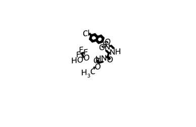 CCOC(=O)CNC(=O)C1CN(S(=O)(=O)c2ccc3cc(Cl)ccc3c2)CCN1.O=C(O)C(F)(F)F